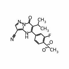 CC(C)c1c(-c2ccc(S(C)(=O)=O)c(F)c2)[nH]c2c(C#N)cnn2c1=O